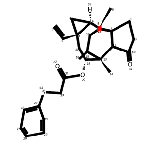 C=C[C@@]12C[C@H]1[C@H](C)C13CCC(=O)C1[C@@](C)(C(C)CC3)[C@H](OC(=O)CSc1ccccc1)C2